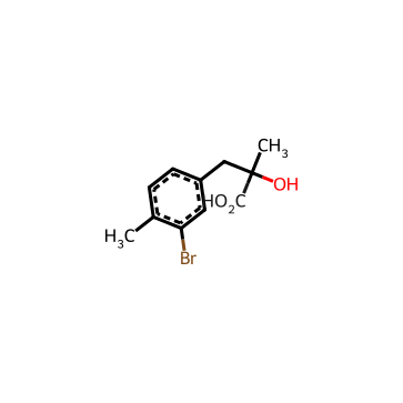 Cc1ccc(CC(C)(O)C(=O)O)cc1Br